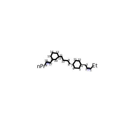 CC/C=C\C[C@H]1CC[C@H](CCCCC2CCCC(/C=C/CCC)C2)CC1